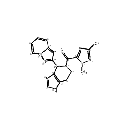 Cn1nc(Cl)nc1C(=O)N1CCc2[nH]cnc2[C@H]1c1cc2ccccn2n1